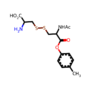 CC(=O)NC(CSSCC(N)C(=O)O)C(=O)Oc1ccc(C)cc1